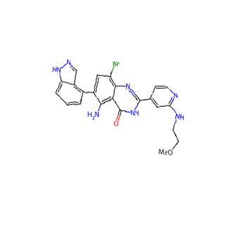 COCCNc1cc(-c2nc3c(Br)cc(-c4cccc5[nH]ncc45)c(N)c3c(=O)[nH]2)ccn1